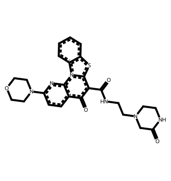 O=C1CN(CCNC(=O)c2c(=O)c3ccc(N4CCOCC4)nc3n3c2sc2ccccc23)CCN1